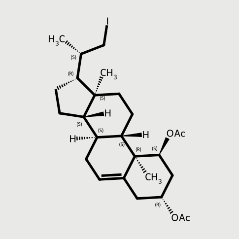 CC(=O)O[C@@H]1CC2=CC[C@H]3[C@@H]4CC[C@H]([C@H](C)CI)[C@@]4(C)CC[C@@H]3[C@@]2(C)[C@@H](OC(C)=O)C1